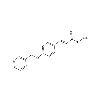 COC(=O)/C=C/c1ccc(OCc2ccccc2)cc1